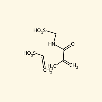 C=C(C)C(=O)NCS(=O)(=O)O.C=CS(=O)(=O)O